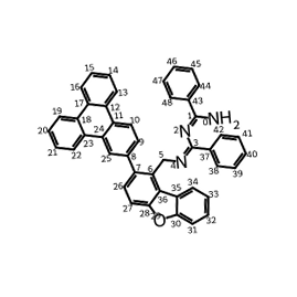 N/C(=N\C(=N/Cc1c(-c2ccc3c4ccccc4c4ccccc4c3c2)ccc2oc3ccccc3c12)c1ccccc1)c1ccccc1